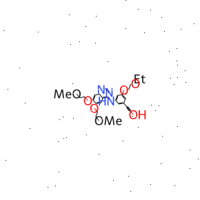 CCOCCOc1cc(C#CO)cc(Nc2ncnc3cc(OCCOC)c(OCCOC)cc23)c1